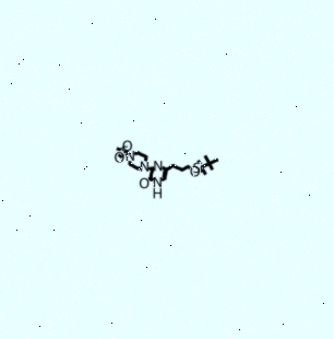 CC(C)(C)[Si](C)(C)OCCCc1c[nH]c(=O)c(N2CCN(S(C)(=O)=O)CC2)n1